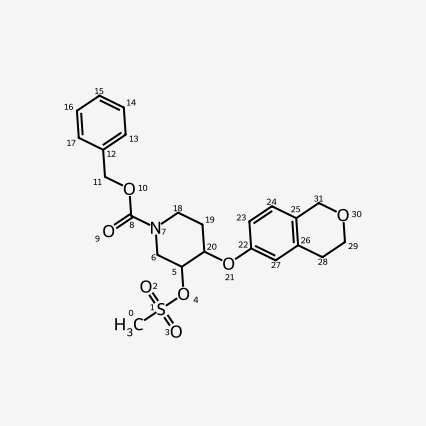 CS(=O)(=O)OC1CN(C(=O)OCc2ccccc2)CCC1Oc1ccc2c(c1)CCOC2